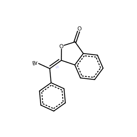 O=C1O/C(=C(\Br)c2ccccc2)c2ccccc21